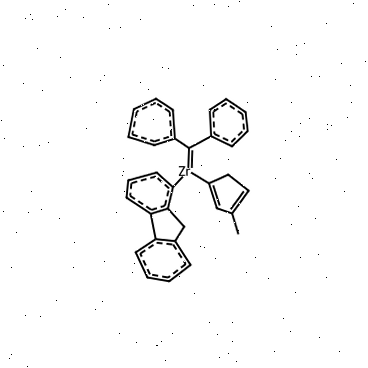 CC1=CC[C]([Zr](=[C](c2ccccc2)c2ccccc2)[c]2cccc3c2Cc2ccccc2-3)=C1